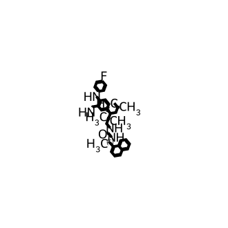 CC(C)CC(c1ccc(Nc2ccc(F)cc2)c(C=N)c1)C(C)(C)CNC(=O)N[C@@H](C)c1cccc2ccccc12